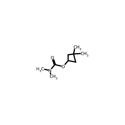 CN(C)C(=O)OC1CC(C)(C)C1